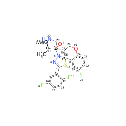 CO[C@H](C)C(=O)N1N=C(c2cc(F)ccc2F)S[C@@]12c1cc(F)ccc1OC[C@H]2CCN